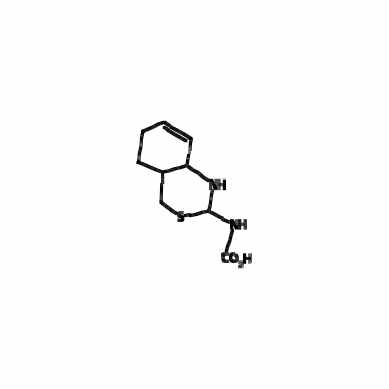 O=C(O)NC1NC2C=CCCC2CS1